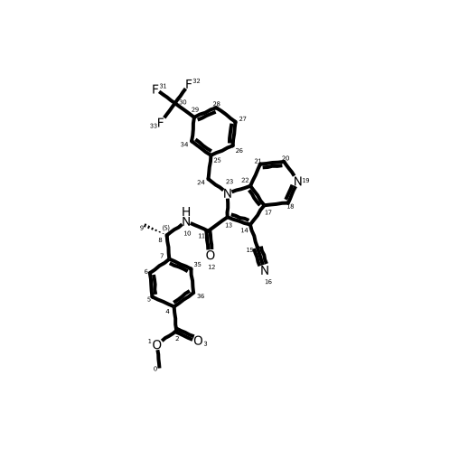 COC(=O)c1ccc([C@H](C)NC(=O)c2c(C#N)c3cnccc3n2Cc2cccc(C(F)(F)F)c2)cc1